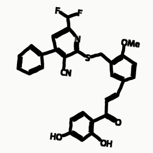 COc1ccc(/C=C/C(=O)c2ccc(O)cc2O)cc1CSc1nc(C(F)F)cc(-c2ccccc2)c1C#N